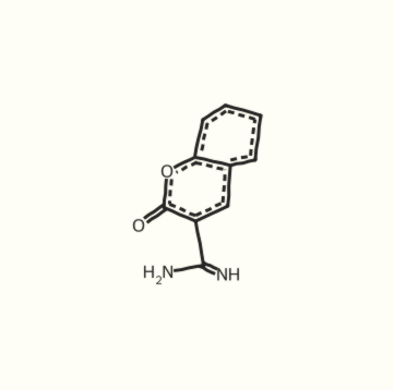 N=C(N)c1cc2ccccc2oc1=O